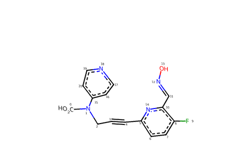 O=C(O)N(CC#Cc1ccc(F)c(C=NO)n1)c1ccncc1